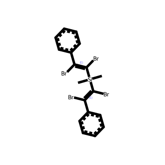 C[Si](C)(/C(Br)=C(\Br)c1ccccc1)/C(Br)=C(\Br)c1ccccc1